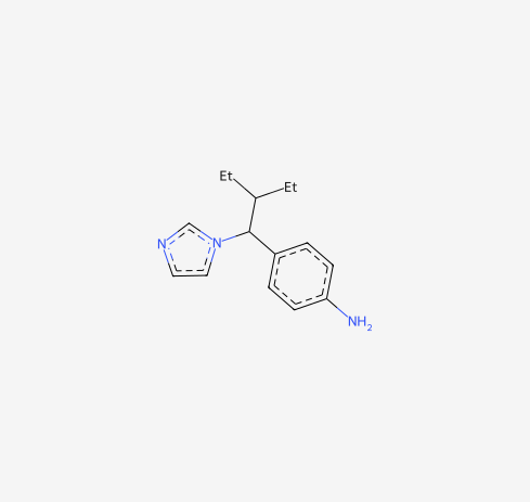 CCC(CC)C(c1ccc(N)cc1)n1ccnc1